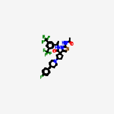 CC(=O)Nc1nc(C2(C(=O)NC(C)c3cc(C(F)(F)F)cc(C(F)(F)F)c3)CCC(N3CCC(c4ccc(F)cc4)CC3)C2)cs1